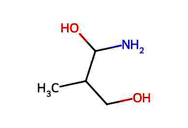 CC(CO)C(N)O